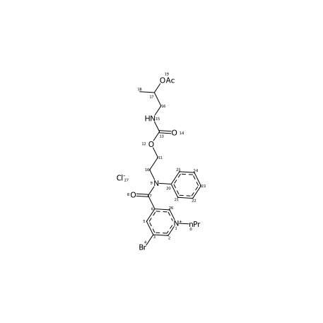 CCC[n+]1cc(Br)cc(C(=O)N(CCOC(=O)NCC(C)OC(C)=O)c2ccccc2)c1.[Cl-]